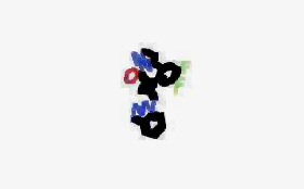 O=C(N1N=CCC1c1ccc(F)c(F)c1)C12CC(Cn3ncc4ccccc43)(C1)C2